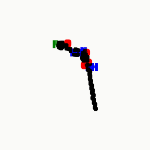 CCCCCCCCCCCCCCCCCCNC(=O)Oc1ccc2c(N3CCN(CCCC(=O)c4ccc(F)cc4)CC3)noc2c1